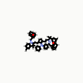 Cc1ccc2c(c1)C(C)(C)C(/C=C/C1=C(N(c3ccccc3)c3ccccc3)C(=C/C=C3/N(CCC45CC6CC(CC(C6)C4)C5)c4ccc(C)cc4C3(C)C)/CC1)=[N+]2CCC12CC3CC(CC(C3)C1)C2